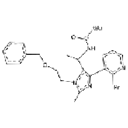 Cc1nc(-c2cccnc2C(C)C)c(C(C)N[S+]([O-])C(C)(C)C)n1CCOCc1ccccc1